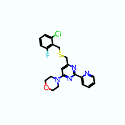 Fc1cccc(Cl)c1CSCc1cc(N2CCOCC2)nc(-c2ccccn2)n1